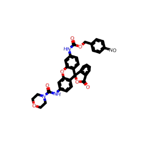 O=Nc1ccc(COC(=O)Nc2ccc3c(c2)Oc2cc(NC(=O)N4CCOCC4)ccc2C32OC(=O)c3ccccc32)cc1